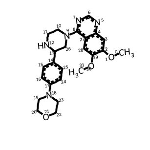 COc1cc2ncnc(N3CCNC(c4ccc(N5CCOCC5)cc4)C3)c2cc1OC